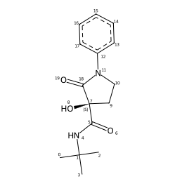 CC(C)(C)NC(=O)[C@@]1(O)CCN(c2ccccc2)C1=O